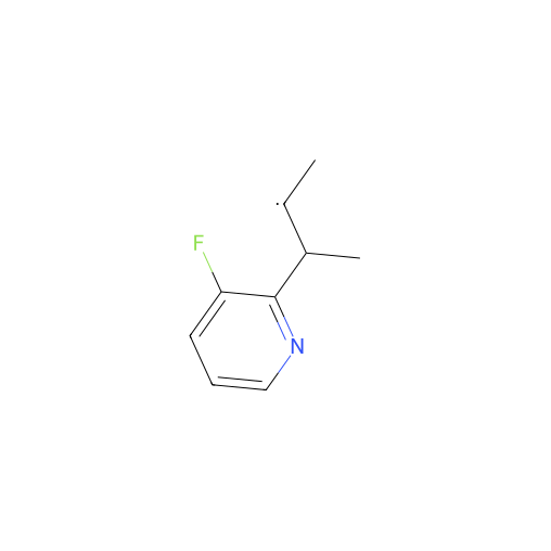 C[CH]C(C)c1ncccc1F